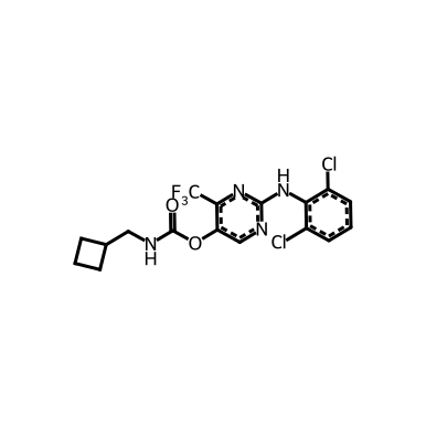 O=C(NCC1CCC1)Oc1cnc(Nc2c(Cl)cccc2Cl)nc1C(F)(F)F